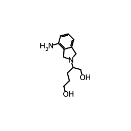 Nc1cccc2c1CN(C(CO)CCCO)C2